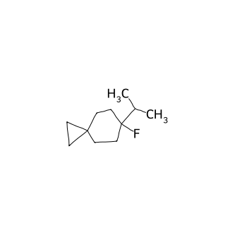 CC(C)C1(F)CCC2(CC2)CC1